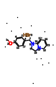 Br.COc1ccc(CN2CCN3CC=CC=C32)cc1